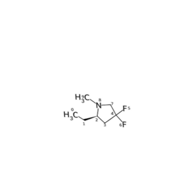 CC[C@@H]1CC(F)(F)CN1C